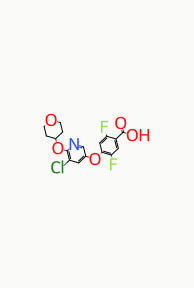 O=C(O)c1cc(F)c(Oc2cnc(OC3CCOCC3)c(Cl)c2)cc1F